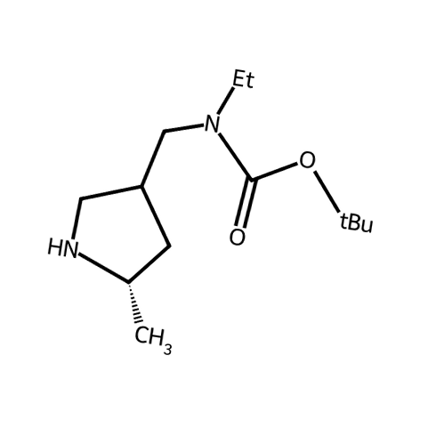 CCN(CC1CN[C@@H](C)C1)C(=O)OC(C)(C)C